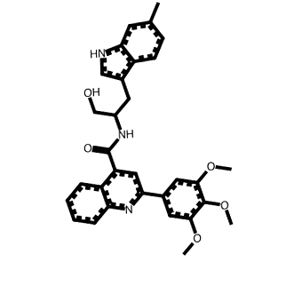 COc1cc(-c2cc(C(=O)NC(CO)Cc3c[nH]c4cc(C)ccc34)c3ccccc3n2)cc(OC)c1OC